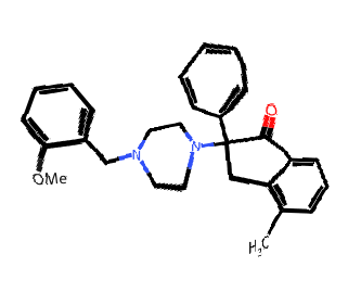 COc1ccccc1CN1CCN(C2(c3ccccc3)Cc3c(C)cccc3C2=O)CC1